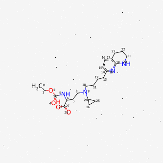 CCOC(=O)NC(CCN(CCCCc1ccc2c(n1)NCCC2)C1CC1)C(=O)O